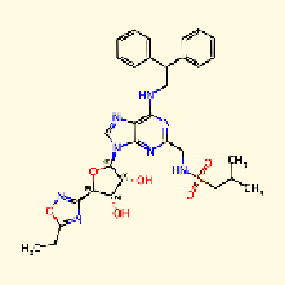 CCc1nc([C@H]2O[C@@H](n3cnc4c(NCC(c5ccccc5)c5ccccc5)nc(CNS(=O)(=O)CC(C)C)nc43)[C@H](O)[C@@H]2O)no1